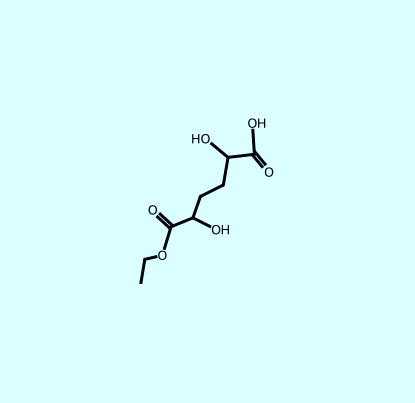 CCOC(=O)C(O)CCC(O)C(=O)O